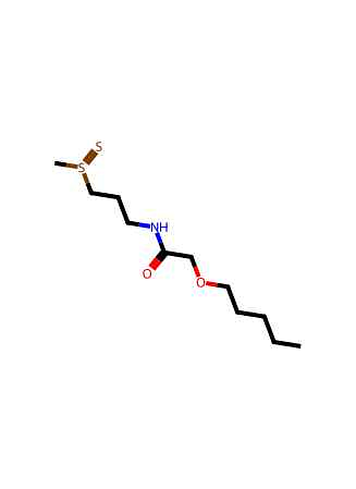 CCCCCOCC(=O)NCCCS(C)=S